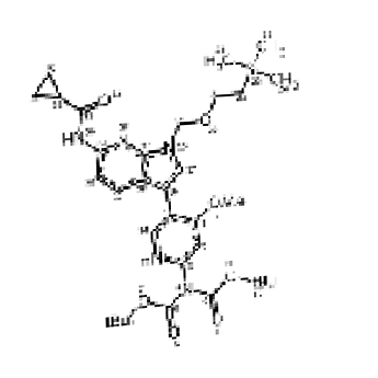 COc1cc(N(C(=O)OC(C)(C)C)C(=O)OC(C)(C)C)ncc1-c1cn(COCC[Si](C)(C)C)c2nc(NC(=O)C3CC3)ccc12